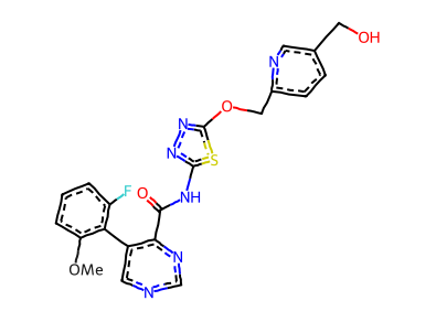 COc1cccc(F)c1-c1cncnc1C(=O)Nc1nnc(OCc2ccc(CO)cn2)s1